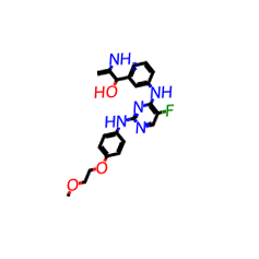 C=C(N)C(O)c1cccc(Nc2nc(Nc3ccc(OCCOC)cc3)ncc2F)c1